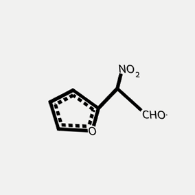 O=[C]C(c1ccco1)[N+](=O)[O-]